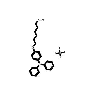 CCCCCCCCCCCCCCCCOc1ccc([S+](c2ccccc2)c2ccccc2)cc1.F[B-](F)(F)F